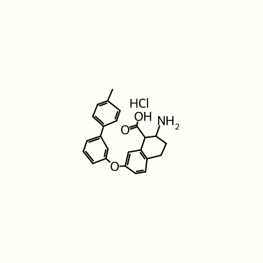 Cc1ccc(-c2cccc(Oc3ccc4c(c3)C(C(=O)O)C(N)CC4)c2)cc1.Cl